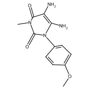 COc1ccc(-n2c(N)c(N)c(=O)n(C)c2=O)cc1